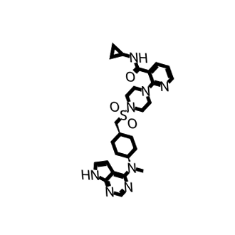 CN(c1ncnc2[nH]ccc12)[C@H]1CC[C@H](CS(=O)(=O)N2CCN(c3ncccc3C(=O)NC3CC3)CC2)CC1